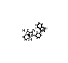 CC(C(=O)Nc1cccc(-c2n[nH]c3ccccc23)c1)C1CCCNC1